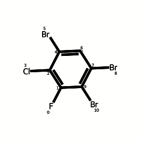 Fc1c(Cl)c(Br)[c]c(Br)c1Br